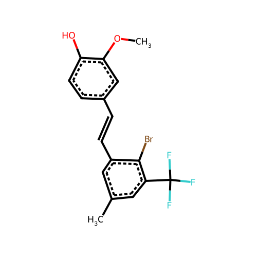 COc1cc(/C=C/c2cc(C)cc(C(F)(F)F)c2Br)ccc1O